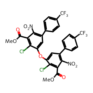 COC(=O)c1c(Cl)c(Oc2cc(-c3ccc(C(F)(F)F)cc3)c([N+](=O)[O-])c(C(=O)OC)c2Cl)cc(-c2ccc(C(F)(F)F)cc2)c1[N+](=O)[O-]